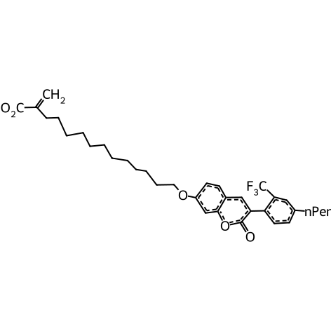 C=C(CCCCCCCCCCCCOc1ccc2cc(-c3ccc(CCCCC)cc3C(F)(F)F)c(=O)oc2c1)C(=O)O